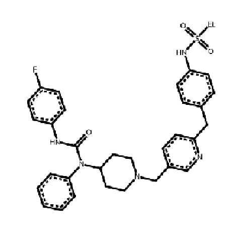 CCS(=O)(=O)Nc1ccc(Cc2ccc(CN3CCC(N(C(=O)Nc4ccc(F)cc4)c4ccccc4)CC3)cn2)cc1